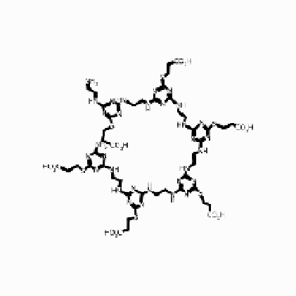 NCCNc1nc(NCCNc2nc(NCCNc3nc(NCCNc4nc(NCCNc5nc(NCCNc6nc(N)nc(SCCC(=O)O)n6)nc(SCCC(=O)O)n5)nc(SCCC(=O)O)n4)nc(SCCC(=O)O)n3)nc(SCCC(=O)O)n2)nc(SCCC(=O)O)n1